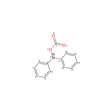 [O]=[V](=[O])[O][SiH](c1ccccc1)c1ccccc1